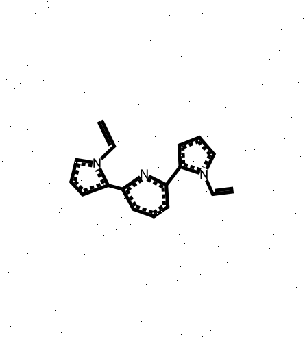 C=Cn1cccc1-c1cccc(-c2cccn2C=C)n1